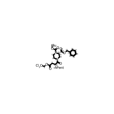 CCCCC[C@H](CC(=O)OCC(Cl)(Cl)Cl)C(=O)N1CCN(C(=O)OC(C)(C)C)[C@H](C(=O)OCc2ccccc2)C1